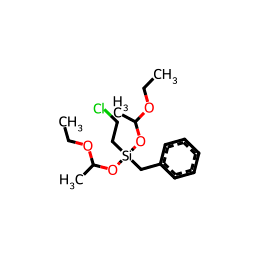 CCOC(C)O[Si](CCCl)(Cc1ccccc1)OC(C)OCC